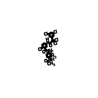 CC(=O)Nc1ccc(NC(=O)c2cc(NC(=O)C3C(c4cc(Cl)cc(Cl)c4)C3(Cl)Cl)ccc2Cl)c(C)c1